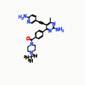 [2H]C([2H])([2H])N1CCN(C(=O)c2ccc(-c3nc(N)nc(C)c3C#Cc3ccc(N)nc3)cc2)CC1